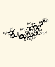 C[C@@H](NC(=O)[C@H](CC(=O)O)NC(=O)[C@H](CC(=O)O)NC(=O)[C@H](CCCNC(=N)N)NC(=O)[C@H](CC(=O)O)NC(=O)CC[C@H](NC(=O)c1ccc(NCc2cnc3nc(N)[nH]c(=O)c3n2)cc1)C(=O)O)C(=O)O